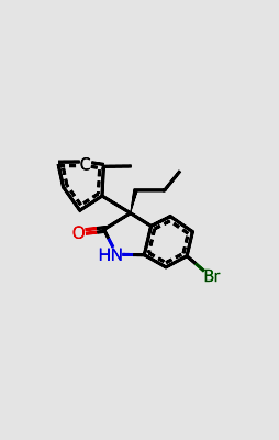 CCC[C@]1(c2ccccc2C)C(=O)Nc2cc(Br)ccc21